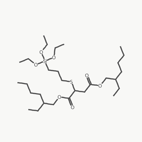 CCCCC(CC)COC(=O)CC(SCCC[Si](OCC)(OCC)OCC)C(=O)OCC(CC)CCCC